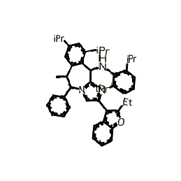 CCc1oc2ccccc2c1-c1cn2c(n1)C(Nc1c(C(C)C)cccc1C(C)C)c1c(C(C)C)cc(C(C)C)cc1C(C)C2c1ccccc1